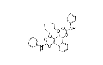 CCCOc1c(OCCC)c(OC(=O)Nc2ccccc2)c2ccccc2c1OC(=O)Nc1ccccc1